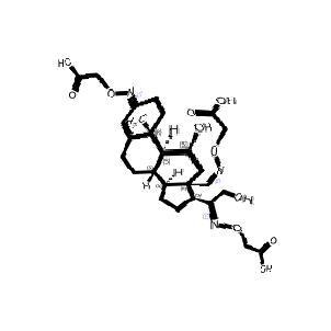 C[C@]12CC/C(=N/OCC(=O)O)C=C1CC[C@@H]1[C@@H]2[C@@H](O)C[C@]2(/C=N\OCC(=O)O)[C@@H](/C(CO)=N/OCC(=O)O)CC[C@@H]12